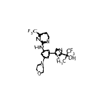 CC(O)(c1ncc(-c2cc(Nc3nccc(C(F)(F)F)n3)cc(N3CCOCC3)c2)s1)C(F)(F)F